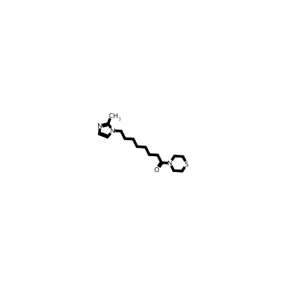 Cc1n[c]cn1CCCCCCCC(=O)N1CCSCC1